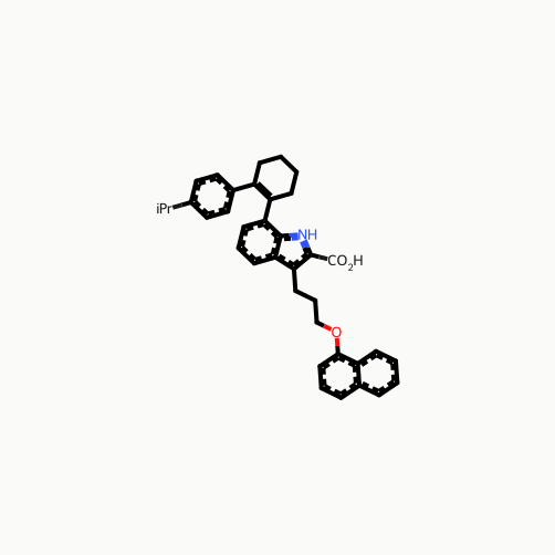 CC(C)c1ccc(C2=C(c3cccc4c(CCCOc5cccc6ccccc56)c(C(=O)O)[nH]c34)CCCC2)cc1